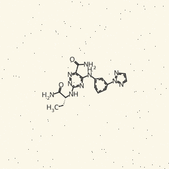 CC[C@@H](Nc1nnc(C(N)=O)c(Nc2cccc(-n3nccn3)c2)n1)C(N)=O